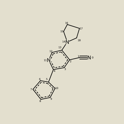 N#Cc1cc(-c2ccccc2)ncc1N1CCCC1